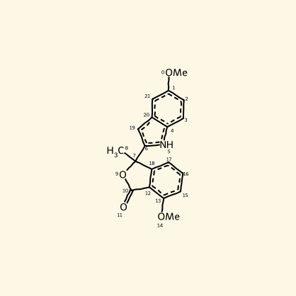 COc1ccc2[nH]c(C3(C)OC(=O)c4c(OC)cccc43)cc2c1